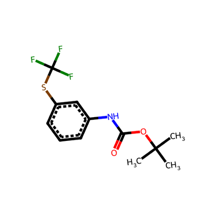 CC(C)(C)OC(=O)Nc1cccc(SC(F)(F)F)c1